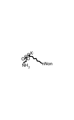 CCCCCCCCCCCCCCCC(=O)OS(=O)(=O)CCN.[K]